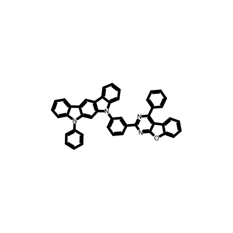 c1ccc(-c2nc(-c3cccc(-n4c5ccccc5c5cc6c7ccccc7n(-c7ccccc7)c6cc54)c3)nc3oc4ccccc4c23)cc1